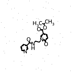 CC(C)OC(=O)c1ccc(=O)n(CCNC(=O)c2cccnc2)c1